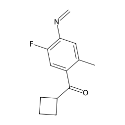 C=Nc1cc(C)c(C(=O)C2CCC2)cc1F